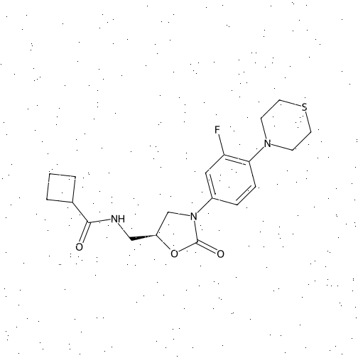 O=C(NC[C@H]1CN(c2ccc(N3CCSCC3)c(F)c2)C(=O)O1)C1CCC1